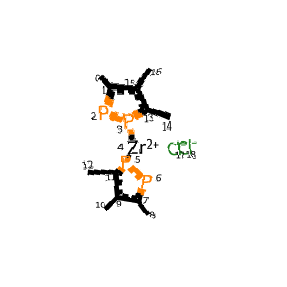 Cc1p[p]([Zr+2][p]2pc(C)c(C)c2C)c(C)c1C.[Cl-].[Cl-]